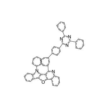 c1ccc(-c2nc(-c3ccccc3)nc(-c3ccc(-c4cccc(-c5nc6ccccc6c6oc7c8ccccc8n(-c8ccccc8)c7c56)c4)cc3)n2)cc1